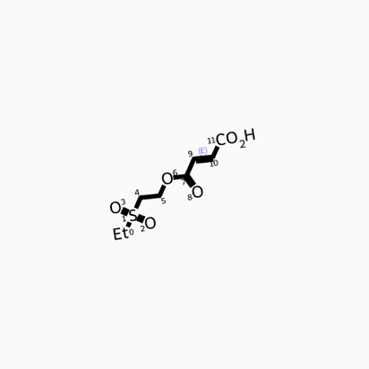 CCS(=O)(=O)CCOC(=O)/C=C/C(=O)O